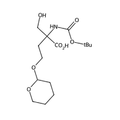 CC(C)(C)OC(=O)NC(CO)(CCOC1CCCCO1)C(=O)O